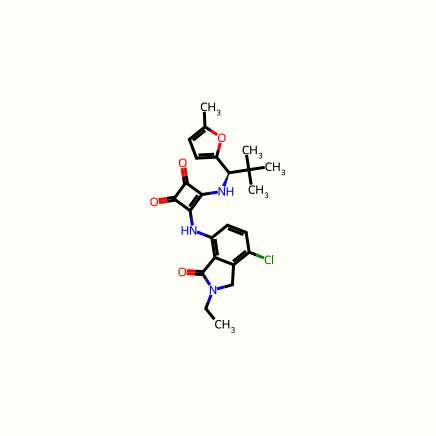 CCN1Cc2c(Cl)ccc(Nc3c(N[C@@H](c4ccc(C)o4)C(C)(C)C)c(=O)c3=O)c2C1=O